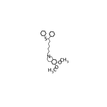 COc1cc2c(cc1OC)CN(CCCCCCC(Sc1ccccc1)c1ccccc1)CC2